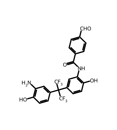 Nc1cc(C(c2ccc(O)c(NC(=O)c3ccc(C=O)cc3)c2)(C(F)(F)F)C(F)(F)F)ccc1O